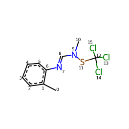 Cc1ccccc1N=CN(C)SC(Cl)(Cl)Cl